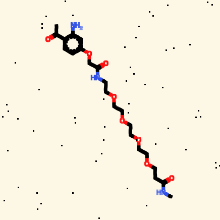 CNC(=O)CCOCCOCCOCCOCCNC(=O)COc1ccc(C(C)=O)c(N)c1